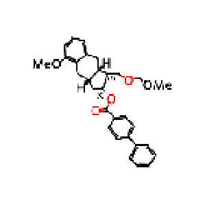 COCOC[C@@H]1[C@H]2Cc3cccc(OC)c3C[C@H]2C[C@H]1OC(=O)c1ccc(-c2ccccc2)cc1